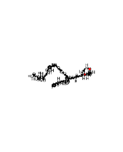 CC12CNCCNCC(NC(=O)CCCC(=O)NCCCC[C@H](NC(=O)CCOCCOCCOCCn3cc(-c4cccc(NC(=O)NCCCC[C@H](NC(=O)N[C@@H](CCC(=O)O)C(=O)O)C(=O)O)c4)nn3)C(=O)N[C@@H](CCCCNC(=O)Cc3ccc(I)cc3)C(=O)O)(CNCCNC1)CNCCNC2